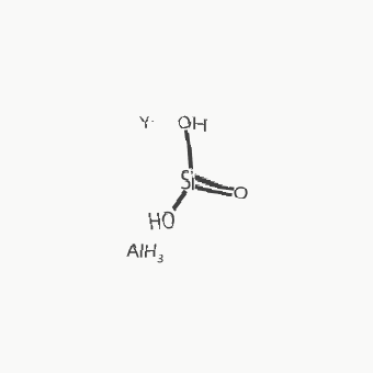 O=[Si](O)O.[AlH3].[Y]